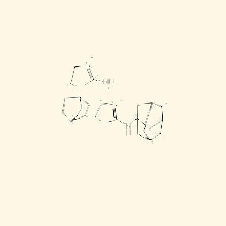 C1CC2CCC1CC2.C1COC(NC23CC4CC(CC(C4)C2)C3)=N1.NC1=NCCO1